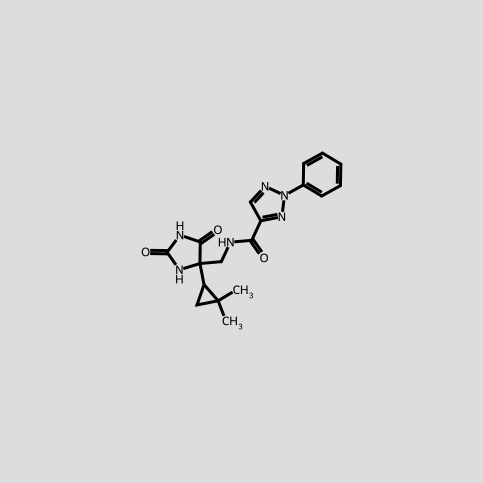 CC1(C)CC1C1(CNC(=O)c2cnn(-c3ccccc3)n2)NC(=O)NC1=O